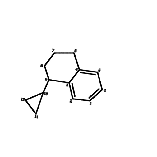 c1ccc2c(c1)CCCC2C1CC1